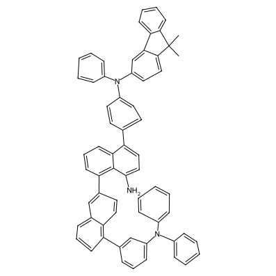 CC1(C)c2ccccc2-c2cc(N(c3ccccc3)c3ccc(-c4ccc(N)c5c(-c6ccc7c(-c8cccc(N(c9ccccc9)c9ccccc9)c8)cccc7c6)cccc45)cc3)ccc21